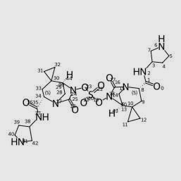 O=C(NC1CCNC1)[C@@H]1CC2(CC2)[C@@H]2CN1C(=O)N2OS(=O)(=O)ON1C(=O)N2C[C@H]1C1(CC1)C[C@H]2C(=O)NC1CCNC1